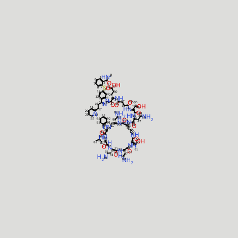 CNC(=O)c1ccccc1Sc1ccc2c(CCc3ccccn3)nn(C(=O)[C@H](CCC(=O)O)NC(=O)CCC(=O)N[C@H](C(=O)N[C@@H](CCN)C(=O)N[C@@H]3CCNC(=O)[C@@H]([C@H](C)O)NC(=O)[C@H](CCN)NC(=O)[C@H](CCN)NC(=O)[C@H](CC(C)C)NC(=O)[C@H](Cc4ccccc4)NC[C@H](CCN)NC3=O)[C@H](C)O)c2c1